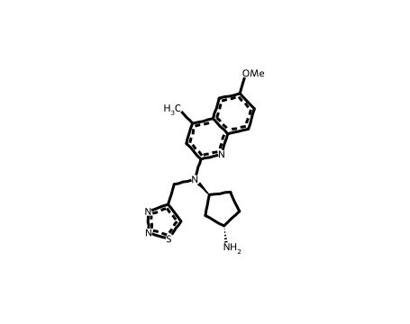 COc1ccc2nc(N(Cc3csnn3)[C@H]3CC[C@H](N)C3)cc(C)c2c1